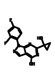 Oc1nc(C2(O)CC2)nc2c1cnn2-c1ccc(F)cc1F